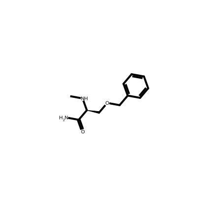 CN[C@@H](COCc1ccccc1)C(N)=O